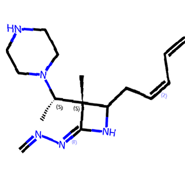 C=C/C=C\CC1N/C(=N/N=C)[C@]1(C)[C@H](C)N1CCNCC1